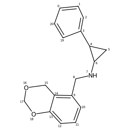 c1ccc(C2CC2NCc2cccc3c2COCO3)cc1